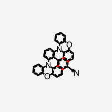 N#Cc1ccc(-c2c(N3c4ccccc4Oc4ccccc43)cccc2N2c3ccccc3Oc3ccccc32)cc1